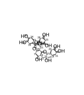 C[C@@]1(O)Cc2c(O)cc3c(c2O[C@@H]1c1ccc(O)c(O)c1)C1c2c(O)cc(O)cc2OC(c2ccc(O)c(O)c2)(O3)[C@]1(C)O